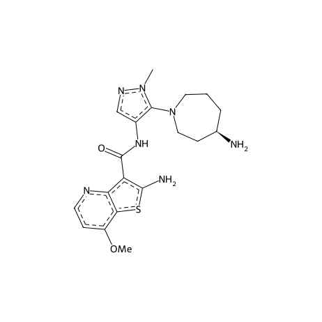 COc1ccnc2c(C(=O)Nc3cnn(C)c3N3CCC[C@@H](N)CC3)c(N)sc12